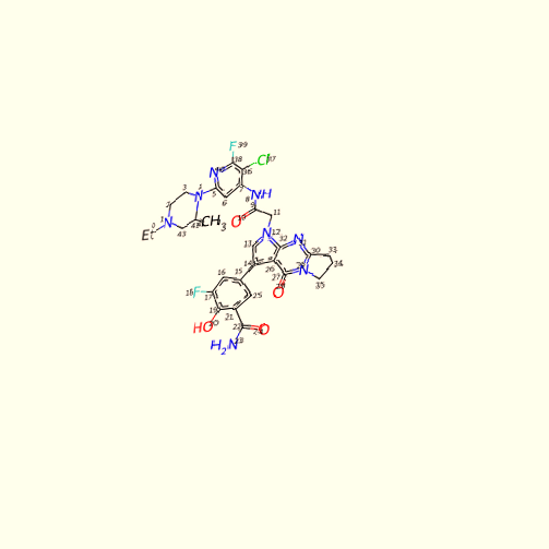 CCN1CCN(c2cc(NC(=O)Cn3cc(-c4cc(F)c(O)c(C(N)=O)c4)c4c(=O)n5c(nc43)CCC5)c(Cl)c(F)n2)C(C)C1